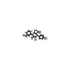 O=C1CCC2=C1C(c1ccc(Cl)nc1)NC(=O)N2c1cccc(CF)c1